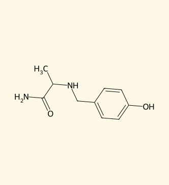 CC(NCc1ccc(O)cc1)C(N)=O